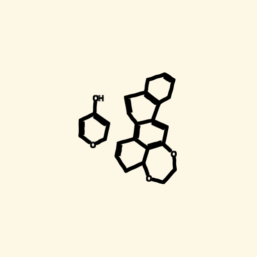 C1=CCc2c(ccc3c4c5c(cc23)OCCOC5CC=C4)C1.OC1=CCOC=C1